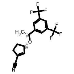 C[C@@H](O[C@@H]1C=C(C#N)CC1)c1cc(C(F)(F)F)cc(C(F)(F)F)c1